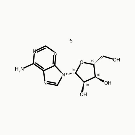 Nc1ncnc2c1ncn2[C@@H]1O[C@H](CO)[C@@H](O)[C@H]1O.[S]